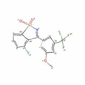 COc1cc(C2=NS(=O)(=O)c3cccc(F)c32)cc(C(F)(F)F)c1